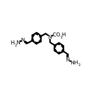 NN=Cc1ccc(CN(Cc2ccc(C=NN)cc2)C(=O)O)cc1